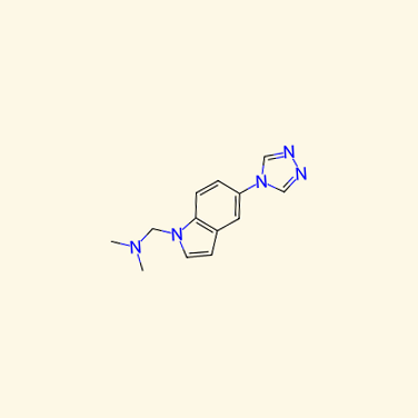 CN(C)Cn1ccc2cc(-n3cnnc3)ccc21